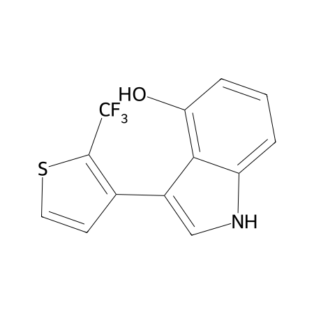 Oc1cccc2[nH]cc(-c3ccsc3C(F)(F)F)c12